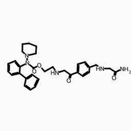 NC(=O)CNCc1ccc(C(=O)CNCCOC(=O)N(c2ccccc2-c2ccccc2)N2CC[CH]CC2)cc1